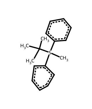 CC(C)(C)S(C)(c1ccccc1)c1ccccc1